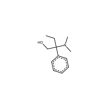 CCC(CO)(c1ccccc1)N(C)C